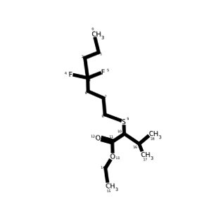 CCCC(F)(F)CCCSC(C(=O)OCC)C(C)C